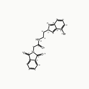 O=C(CN1C(=O)c2ccccc2C1=O)NCCn1cc2c(Br)cccc2n1